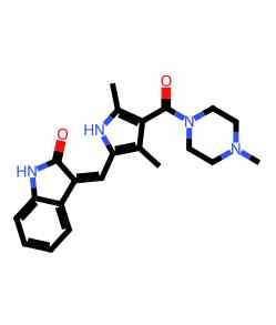 Cc1[nH]c(C=C2C(=O)Nc3ccccc32)c(C)c1C(=O)N1CCN(C)CC1